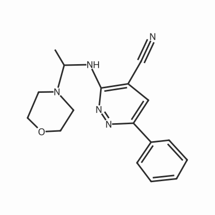 CC(Nc1nnc(-c2ccccc2)cc1C#N)N1CCOCC1